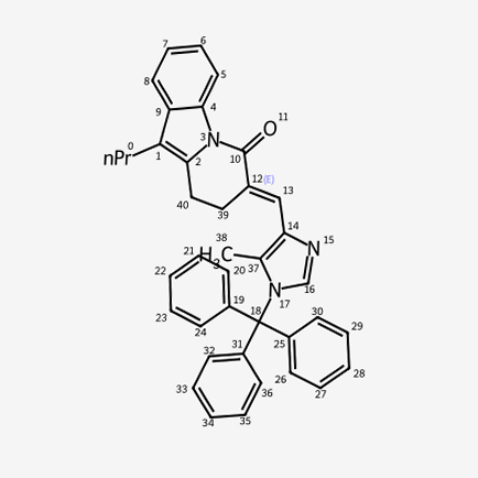 CCCc1c2n(c3ccccc13)C(=O)/C(=C/c1ncn(C(c3ccccc3)(c3ccccc3)c3ccccc3)c1C)CC2